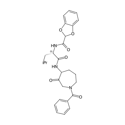 CC(C)C[C@H](NC(=O)C1Oc2ccccc2O1)C(=O)NC1CCCN(C(=O)c2ccccc2)CC1=O